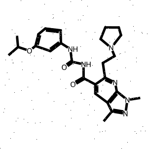 Cc1nn(C)c2nc(CCN3CCCC3)c(C(=O)NC(=O)Nc3cccc(OC(C)C)c3)cc12